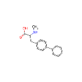 CNC(Cc1ccc(-c2ccccc2)cc1)C(=O)O